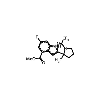 COC(=O)c1cc(F)cc2[nH]c(C3(C)CCCN3C(=O)C(F)(F)F)cc12